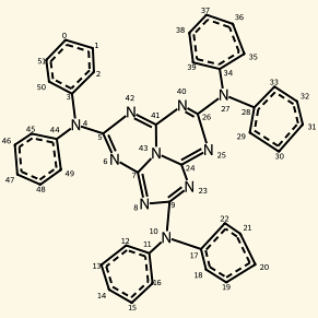 c1ccc(N(C2=NC3=NC(N(c4ccccc4)c4ccccc4)=NC4=NC(N(c5ccccc5)c5ccccc5)=NC(=N2)N34)c2ccccc2)cc1